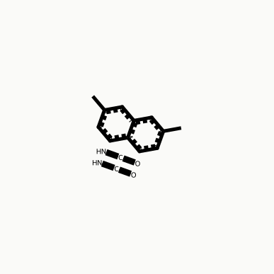 Cc1ccc2ccc(C)cc2c1.N=C=O.N=C=O